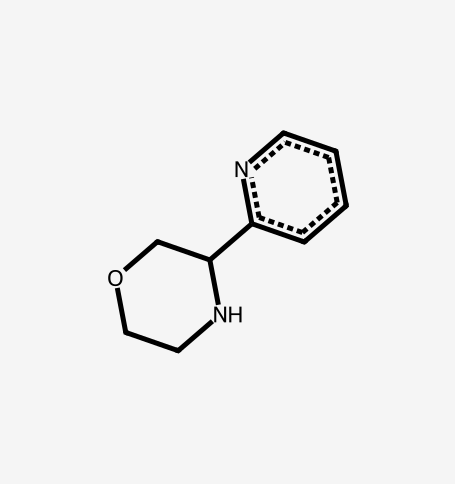 c1ccc(C2COCCN2)nc1